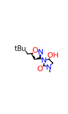 CN1CC(O)N(c2cc(CC(C)(C)C)on2)C1=O